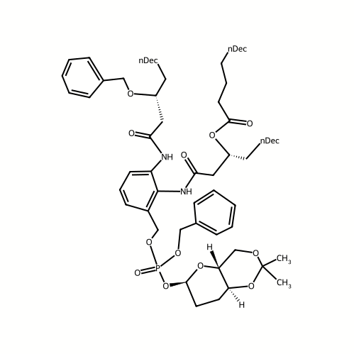 CCCCCCCCCCCCCC(=O)O[C@H](CCCCCCCCCCC)CC(=O)Nc1c(COP(=O)(OCc2ccccc2)O[C@@H]2CC[C@@H]3OC(C)(C)OC[C@H]3O2)cccc1NC(=O)C[C@@H](CCCCCCCCCCC)OCc1ccccc1